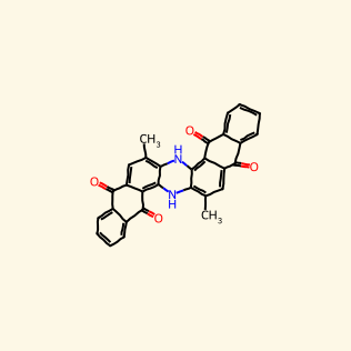 Cc1cc2c(=O)c3ccccc3c(=O)c2c2[nH]c3c(C)cc4c(=O)c5ccccc5c(=O)c4c3[nH]c12